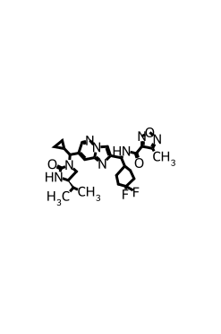 Cc1nonc1C(=O)NC(c1cn2ncc(C(C3CC3)N3C[C@@H](C(C)C)NC3=O)cc2n1)C1CCC(F)(F)CC1